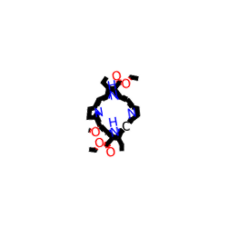 CCOC(=O)c1c(CC)c2cc3nc(c(OC)c4[nH]c(cc5nc(cc1[nH]2)CC5)c(CC)c4C(=O)OCC)CC3